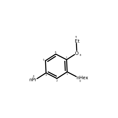 CCCCCCc1cc(CCC)ccc1OCC